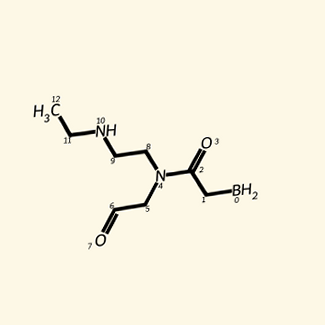 BCC(=O)N(CC=O)CCNCC